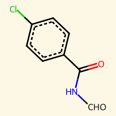 O=CNC(=O)c1ccc(Cl)cc1